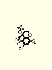 CSc1cc(Br)c(SC)c2c1OCCC2(C#N)O[Si](C)(C)C